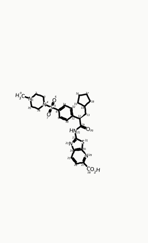 CN1CCN(S(=O)(=O)c2ccc([C@@H](CC3CCCC3)C(=O)Nc3nc4ccc(C(=O)O)nc4s3)cc2)CC1